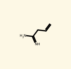 C=C[CH]C(=N)N